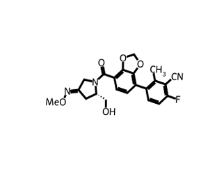 CO/N=C1\C[C@@H](CO)N(C(=O)c2ccc(-c3ccc(F)c(C#N)c3C)c3c2OCO3)C1